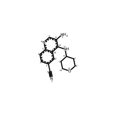 N#Cc1ccc2ncc(N)c(NC3CCOCC3)c2c1